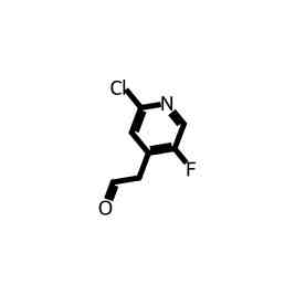 O=CCc1cc(Cl)ncc1F